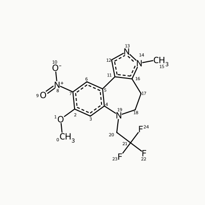 COc1cc2c(cc1[N+](=O)[O-])-c1cnn(C)c1CCN2CC(F)(F)F